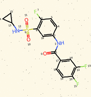 O=C(Nc1ccc(F)c(S(=O)(=O)NC2CC2)c1)c1ccc(F)c(F)c1